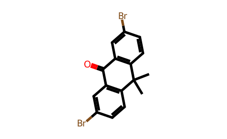 CC1(C)c2ccc(Br)cc2C(=O)c2cc(Br)ccc21